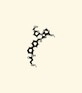 NCCC(=O)Nc1cccc(-c2ccc(CNc3nc4c(N)ncnc4n3[C@H]3CC[C@@H](CO)O3)cc2)c1